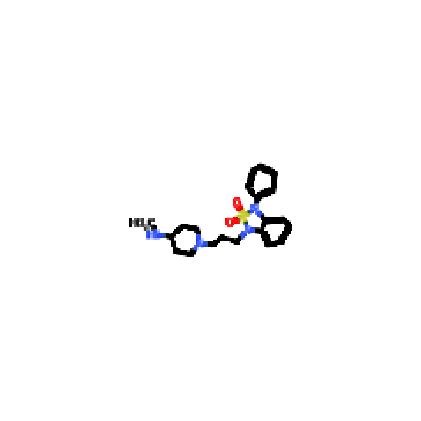 O=C(O)NC1CCN(CCCN2c3ccccc3N(c3ccccc3)S2(=O)=O)CC1